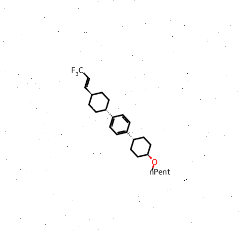 CCCCCO[C@H]1CC[C@H](c2ccc([C@H]3CC[C@H](C=CC(F)(F)F)CC3)cc2)CC1